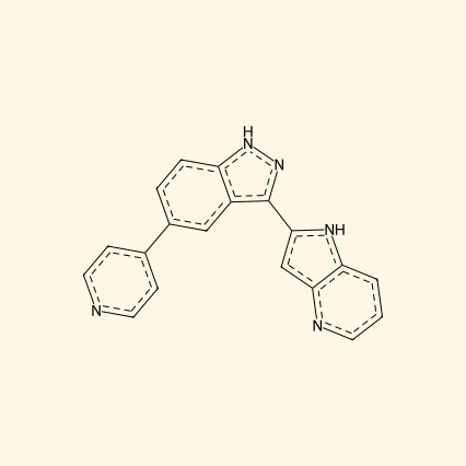 c1cnc2cc(-c3n[nH]c4ccc(-c5ccncc5)cc34)[nH]c2c1